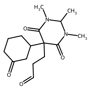 CC1N(C)C(=O)C(CCC=O)(C2CCCC(=O)C2)C(=O)N1C